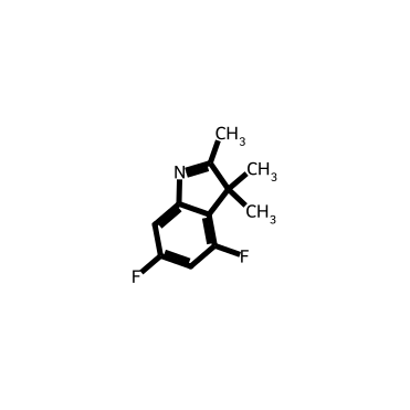 CC1=Nc2cc(F)cc(F)c2C1(C)C